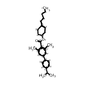 CCCCCC1CCC(OC(=O)c2c(C)cc(-c3ccc(C(C)C)cc3)cc2C)CC1